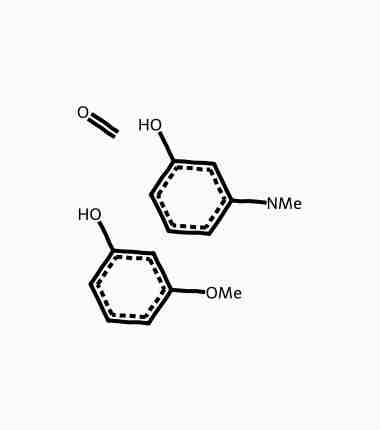 C=O.CNc1cccc(O)c1.COc1cccc(O)c1